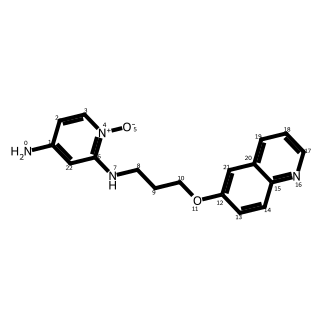 Nc1cc[n+]([O-])c(NCCCOc2ccc3ncccc3c2)c1